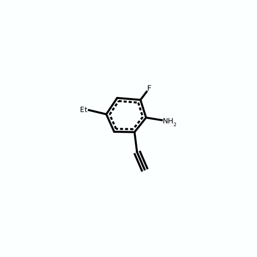 C#Cc1cc(CC)cc(F)c1N